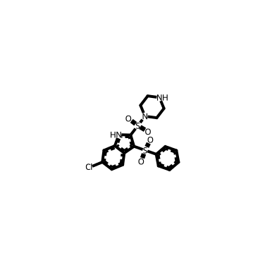 O=S(=O)(c1ccccc1)c1c(S(=O)(=O)N2CCNCC2)[nH]c2cc(Cl)ccc12